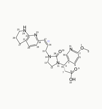 COc1ccc([C@H](CC(=O)O)N2CCN(C/C=C\c3ccc4c(n3)NCCC4)C2=O)cn1